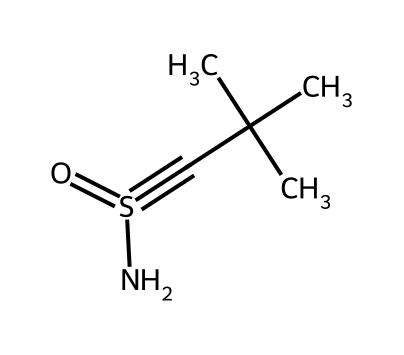 CC(C)(C)C#S(N)=O